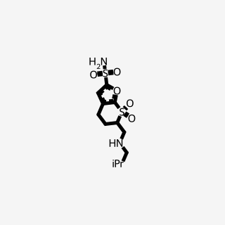 CC(C)CNCC1CCc2cc(S(N)(=O)=O)oc2S1(=O)=O